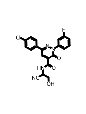 N#CC(CO)NC(=O)c1cc(-c2ccc(Cl)cc2)nn(-c2cccc(F)c2)c1=O